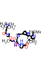 CCn1c(-c2cccnc2COC)c2c3cc(ccc31)-c1csc(n1)C[C@H](NC(=O)C[C@@H](C)OC1CN(C(=O)C#CC(C)(C)N(C)C)C1)C(=O)N1CCC[C@H](N1)C(=O)OCC(C)(C)C2